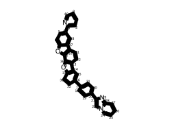 c1ccc(-c2ccc3oc4c(ccc5c6cc(-c7ccc(-c8cn9ccccc9n8)cc7)ccc6oc54)c3c2)nc1